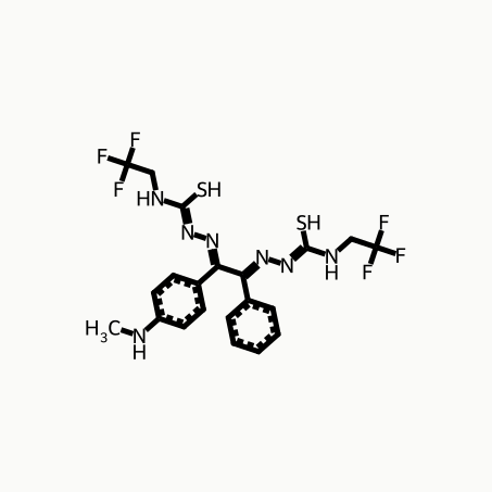 CNc1ccc(C(=N\N=C(/S)NCC(F)(F)F)/C(=N/N=C(\S)NCC(F)(F)F)c2ccccc2)cc1